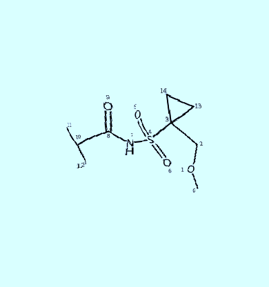 COCC1(S(=O)(=O)NC(=O)C(C)C)CC1